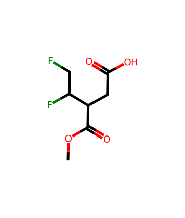 COC(=O)C(CC(=O)O)C(F)CF